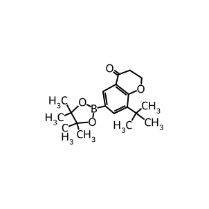 CC(C)(C)c1cc(B2OC(C)(C)C(C)(C)O2)cc2c1OCCC2=O